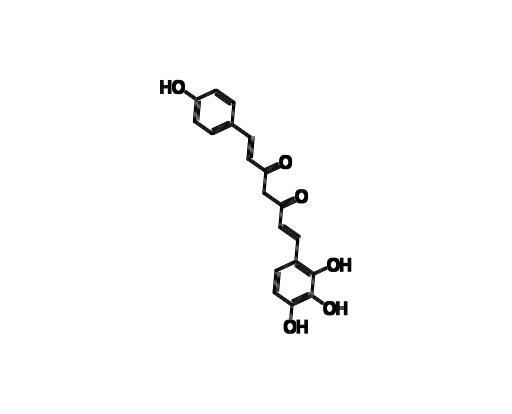 O=C(C=Cc1ccc(O)cc1)CC(=O)C=Cc1ccc(O)c(O)c1O